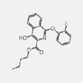 CCCCOC(=O)c1nc(Oc2ccccc2F)c2ccccc2c1O